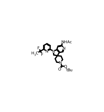 CC(=O)Nc1cc2c(cn1)C1(CCN(C(=O)OC(C)(C)C)CC1)CN2c1cccc(C(C)(F)F)n1